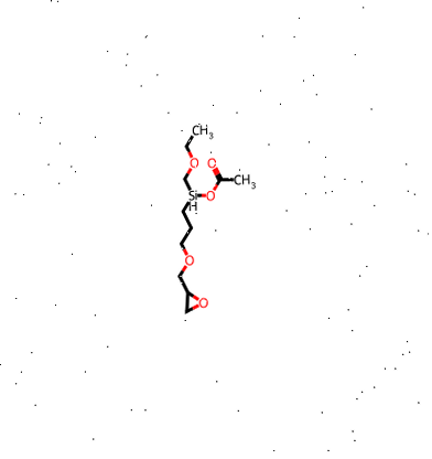 CCOC[SiH](CCCOCC1CO1)OC(C)=O